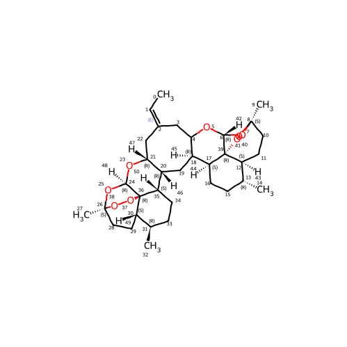 C/C=C1\CC2O[C@@H]3O[C@]4(C)CC[C@H]5[C@H](C)CC[C@@H]([C@H]2C[C@H]2[C@@H](C1)O[C@@H]1O[C@]6(C)CC[C@H]7[C@H](C)CC[C@@H]2[C@@]17OO6)[C@@]35OO4